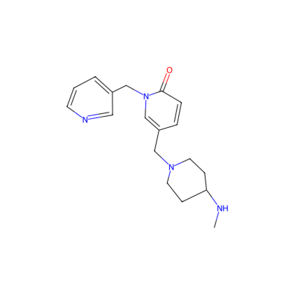 CNC1CCN(Cc2ccc(=O)n(Cc3cccnc3)c2)CC1